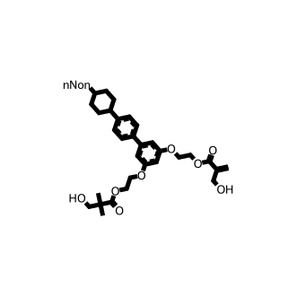 C=C(CO)C(=O)OCCOc1cc(OCCOC(=O)C(C)(C)CO)cc(-c2ccc(C3CCC(CCCCCCCCC)CC3)cc2)c1